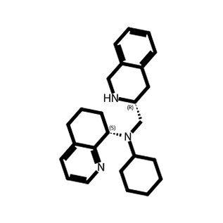 c1ccc2c(c1)CN[C@@H](CN(C1CCCCC1)[C@H]1CCCc3cccnc31)C2